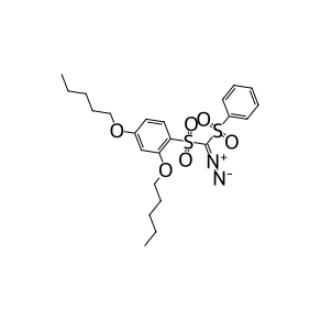 CCCCCOc1ccc(S(=O)(=O)C(=[N+]=[N-])S(=O)(=O)c2ccccc2)c(OCCCCC)c1